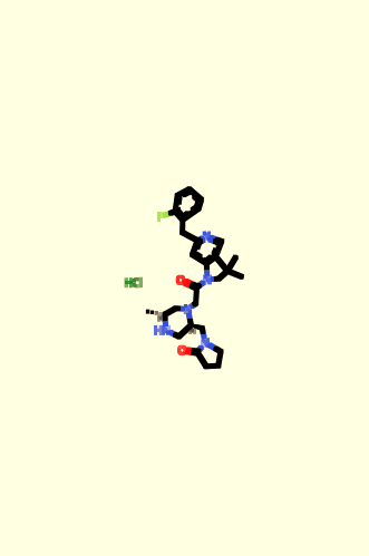 C[C@@H]1CN(CC(=O)N2CC(C)(C)c3cnc(Cc4ccccc4F)cc32)[C@@H](CN2CCCC2=O)CN1.Cl